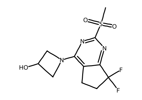 CS(=O)(=O)c1nc(N2CC(O)C2)c2c(n1)C(F)(F)CC2